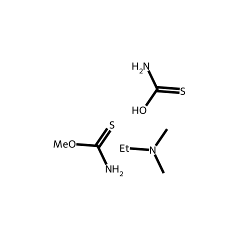 CCN(C)C.COC(N)=S.NC(O)=S